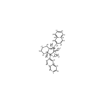 CP1(=O)N(c2ccc3ccccc3c2)[C@@H]2CCCC[C@H]2N1c1ccc2ccccc2c1